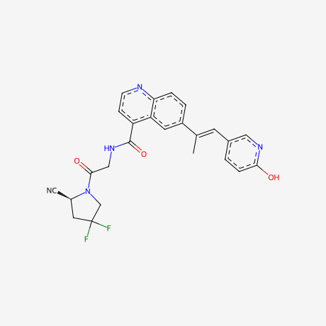 C/C(=C\c1ccc(O)nc1)c1ccc2nccc(C(=O)NCC(=O)N3CC(F)(F)C[C@H]3C#N)c2c1